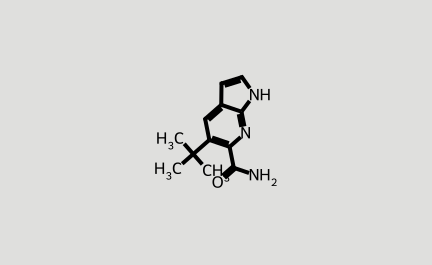 CC(C)(C)c1cc2cc[nH]c2nc1C(N)=O